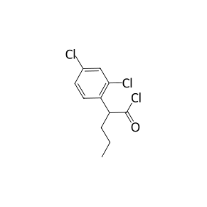 CCCC(C(=O)Cl)c1ccc(Cl)cc1Cl